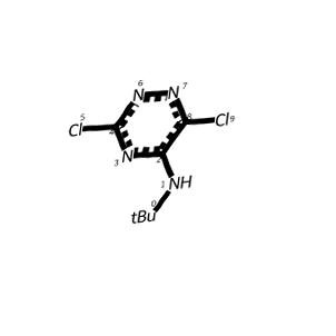 CC(C)(C)Nc1nc(Cl)nnc1Cl